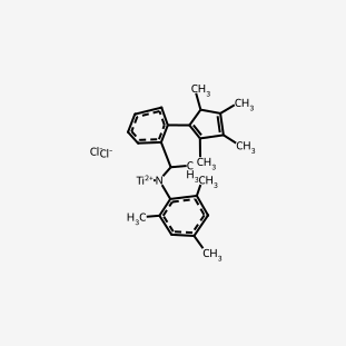 CC1=C(C)C(C)C(c2ccccc2C(C)[N]([Ti+2])c2c(C)cc(C)cc2C)=C1C.[Cl-].[Cl-]